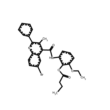 CCCC(=O)Oc1c(NC(=O)c2c(C)c(-c3ccccc3)nc3ccc(Br)cc23)cccc1OCC